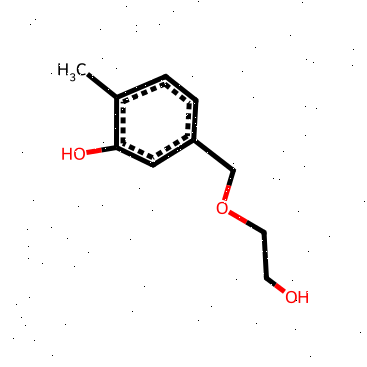 Cc1ccc(COCCO)cc1O